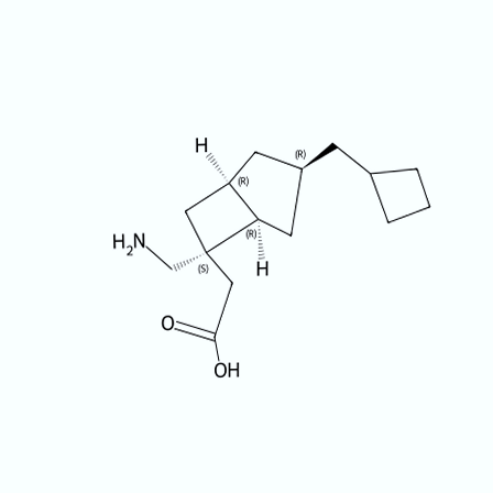 NC[C@]1(CC(=O)O)C[C@H]2C[C@@H](CC3CCC3)C[C@H]21